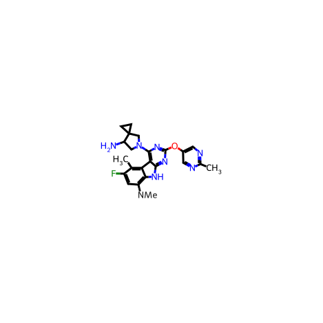 CNc1cc(F)c(C)c2c1[nH]c1nc(Oc3cnc(C)nc3)nc(N3CC(N)C4(CC4)C3)c12